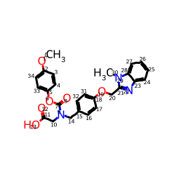 COc1ccc(OC(=O)N(CC(=O)O)Cc2ccc(OCc3nc4ccccc4n3C)cc2)cc1